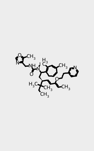 C/C=C(/C=C/[C@H](CC(C1=C(C)C=C(C)C=CC1)N(I)C(=O)NCc1ncoc1C)C(C)(C)CC)OCCc1cccnc1